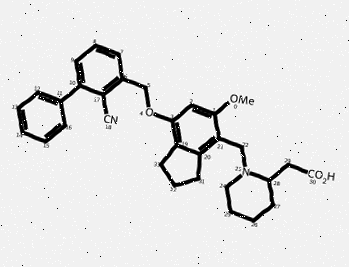 COc1cc(OCc2cccc(-c3ccccc3)c2C#N)c2c(c1CN1CCCCC1CC(=O)O)CCC2